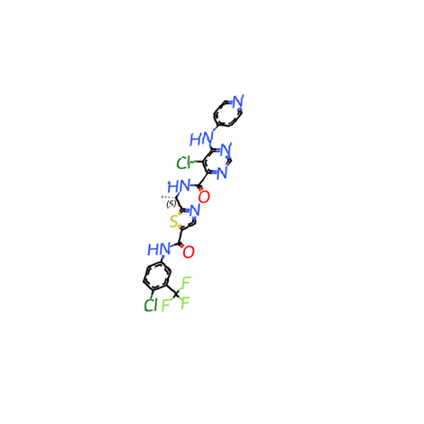 C[C@H](NC(=O)c1ncnc(Nc2ccncc2)c1Cl)c1ncc(C(=O)Nc2ccc(Cl)c(C(F)(F)F)c2)s1